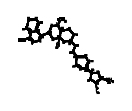 C[C@@H]1CN(c2ccc(C#N)c3ncccc23)C[C@@H]2CN(CCc3ccc(N4C[C@@H](N)[C@H](F)C4)nc3)CCN21